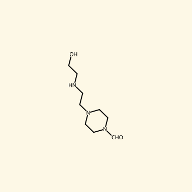 O=CN1CCN(CCNCCO)CC1